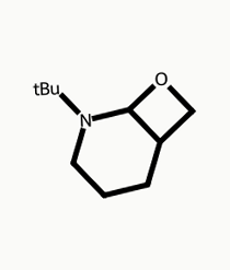 CC(C)(C)N1CCCC2COC21